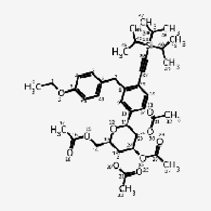 CCOc1ccc(Cc2cc([C@@H]3O[C@H](COC(C)=O)[C@@H](OC(C)=O)[C@H](OC(C)=O)[C@H]3OC(C)=O)ccc2C#C[Si](C(C)C)(C(C)C)C(C)C)cc1